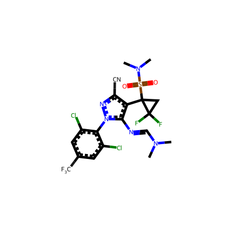 CN(C)/C=N/c1c(C2(S(=O)(=O)N(C)C)CC2(F)F)c(C#N)nn1-c1c(Cl)cc(C(F)(F)F)cc1Cl